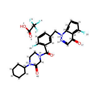 O=C(O)C(F)(F)F.O=C(c1cc(Cn2ncc(=O)c3c(F)cccc32)ccc1F)N1CCN(C2CCCCC2)C(=O)C1